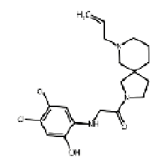 C=CCN1CCCC2(CCN(C(=O)CNc3cc(Cl)c(Cl)cc3O)C2)C1